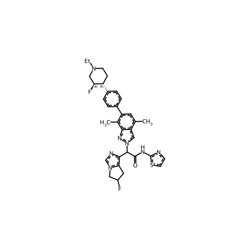 CCN1CC[C@H](c2ccc(-c3cc(C)c4cn(C(C(=O)Nc5nccs5)c5ncn6c5CC(F)C6)nc4c3C)cc2)[C@@H](F)C1